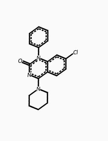 O=c1nc(N2CCCCC2)c2ccc(Cl)cc2n1-c1ccccc1